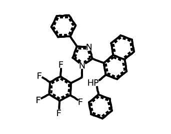 Fc1c(F)c(F)c(Cn2cc(-c3ccccc3)nc2-c2c(Pc3ccccc3)ccc3ccccc23)c(F)c1F